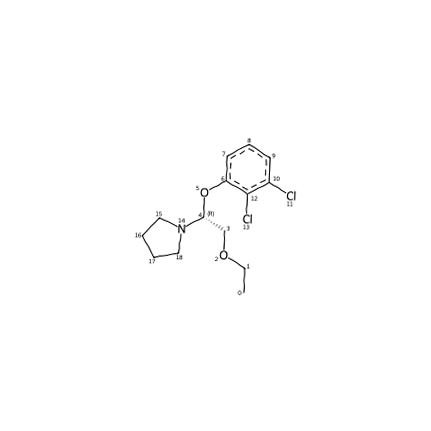 CCOC[C@@H](Oc1cccc(Cl)c1Cl)N1CCCC1